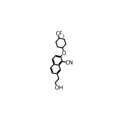 N#Cc1c(OC2CCC(C(F)(F)F)CC2)ccc2ccc(CCO)cc12